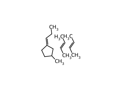 CC=CC.CC=CC.CCC=C1CCC(C)C1